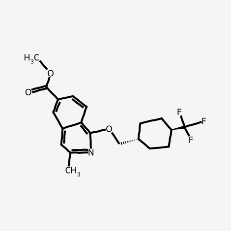 COC(=O)c1ccc2c(OC[C@H]3CC[C@H](C(F)(F)F)CC3)nc(C)cc2c1